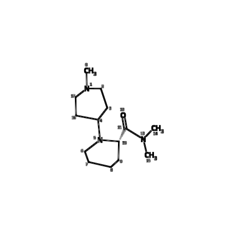 CN1CCC(N2CCCC[C@H]2C(=O)N(C)C)CC1